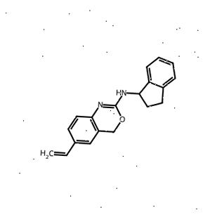 C=Cc1ccc2c(c1)COC(NC1CCc3ccccc31)=N2